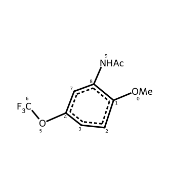 COc1ccc(OC(F)(F)F)cc1NC(C)=O